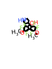 COc1c(F)cc(C(O)(c2cc(F)c(OC)c(F)c2F)C2CCNCC2)c(F)c1F